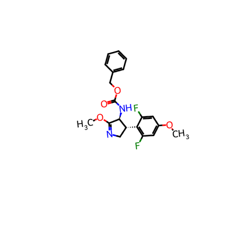 COC1=NC[C@@H](c2c(F)cc(OC)cc2F)[C@@H]1NC(=O)OCc1ccccc1